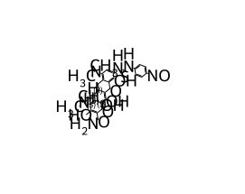 CN(C)c1cc(NC(=S)Nc2ccc(N=O)cc2)c(O)c2c1C[C@H]1C[C@H]3[C@H](N(C)C)C(O)=C(C(N)=O)C(=O)[C@@]3(O)C(O)=C1C2=O